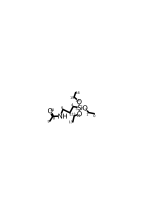 CCO[Si](CCCNC(C)=O)(OCC)OCC